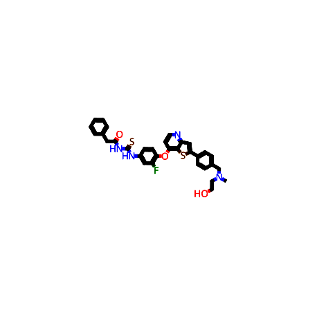 CN(CCO)Cc1ccc(-c2cc3nccc(Oc4ccc(NC(=S)NC(=O)Cc5ccccc5)cc4F)c3s2)cc1